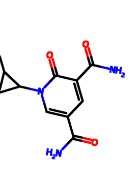 CC1CC1n1cc(C(N)=O)cc(C(N)=O)c1=O